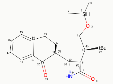 C[SiH](C)OC[C@H]([C@@H]1C(=O)N[C@@H]1[C@@H]1CCc2ccccc2C1=O)C(C)(C)C